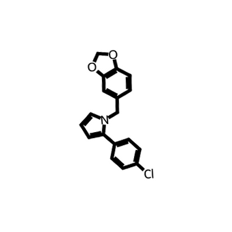 Clc1ccc(-c2cccn2Cc2ccc3c(c2)OCO3)cc1